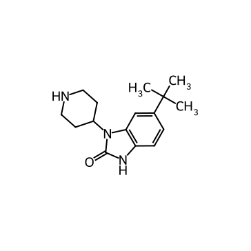 CC(C)(C)c1ccc2[nH]c(=O)n(C3CCNCC3)c2c1